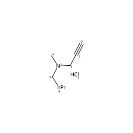 C#CCN(C)CCCC.Cl